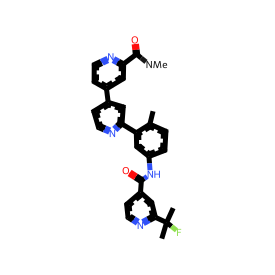 CNC(=O)c1cc(-c2ccnc(-c3cc(NC(=O)c4ccnc(C(C)(C)F)c4)ccc3C)c2)ccn1